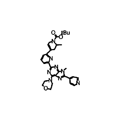 CC1CC(c2cccc(-c3nc(N4CCOCC4)c4nc(-c5ccncc5)n(C)c4n3)n2)=CCN1C(=O)OC(C)(C)C